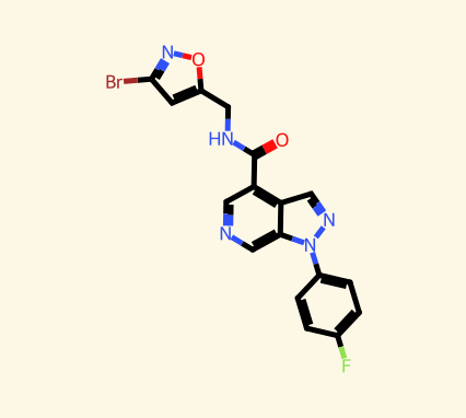 O=C(NCc1cc(Br)no1)c1cncc2c1cnn2-c1ccc(F)cc1